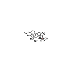 C[C@@H]1CC2C3CCC4=CC(=O)C=C[C@]4(C)[C@@]3(F)[C@@H](O)C[C@]2(C)[C@@]1(OS(=O)(=O)[O-])C(=O)CO.[Na+]